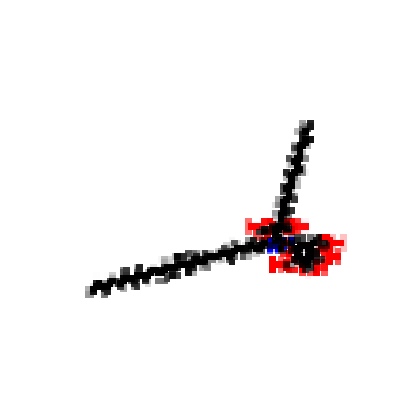 CCCCCCCCCCCCCCCCCCCCCCCCCC(=O)N[C@@H](CO[C@H]1CC(CO)[C@H](O)[C@H](O)C1O)[C@H](O)[C@H](O)CCCCCCCCCCCCCC